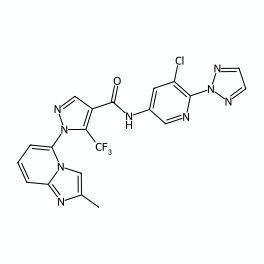 Cc1cn2c(-n3ncc(C(=O)Nc4cnc(-n5nccn5)c(Cl)c4)c3C(F)(F)F)cccc2n1